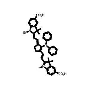 CCN1/C(=C/C=C2\CCC(/C=C/C3=[N+](CC)c4ccc(C(=O)O)cc4C3(C)C)=C2N(c2ccccc2)c2ccccc2)C(C)(C)c2cc(C(=O)O)ccc21